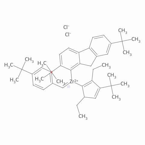 CCC1=[C](/[Zr+2](=[CH]/c2ccc(C(C)(C)C)cc2)[c]2c(C(C)(C)C)ccc3c2Cc2cc(C(C)(C)C)ccc2-3)C(CC)C=C1C(C)(C)C.[Cl-].[Cl-]